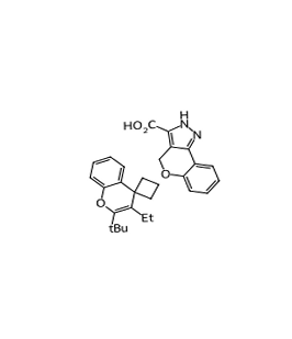 CCC1=C(C(C)(C)C)Oc2ccccc2C12CCC2.O=C(O)c1[nH]nc2c1COc1ccccc1-2